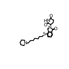 O=C1CCC(N2Cc3c(SCCCCCCCN4CCCCC4)cccc3C2=O)C(=O)N1